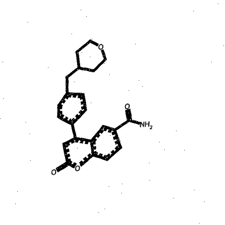 NC(=O)c1ccc2oc(=O)cc(-c3ccc(CC4CCOCC4)cc3)c2c1